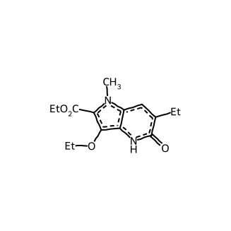 CCOC(=O)c1c(OCC)c2[nH]c(=O)c(CC)cc2n1C